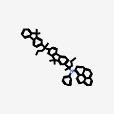 CCCC(C)(c1ccc2c(c1)C(C)(C)c1ccccc1-2)c1ccc2c(c1)C(C)(C)c1cc(C(C)(CCC)N(c3ccccc3)c3ccc4ccc5cccc6ccc3c4c56)ccc1-2